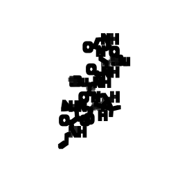 C=CCNC(=O)C(=O)C(NC(=O)[C@@H]1[C@@H]2[C@H](CN1C(=O)[C@@H](NC(=O)N[C@H](CN1C(=O)CNC1=O)C(C)(C)C)C(C)(C)C)C2(C)C)C1CC1